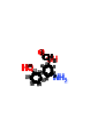 C=O.Nc1cccc(O)c1.Oc1ccccc1